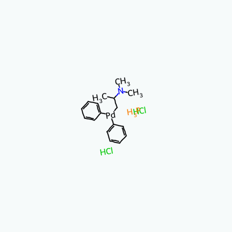 CC([CH2][Pd]([c]1ccccc1)[c]1ccccc1)N(C)C.Cl.Cl.P